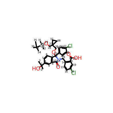 CC(C)(O)c1ccc2c(c1)C(=O)N(Cc1ccc(Cl)cc1C(=O)O)C2(OCC1(CO[Si](C)(C)C(C)(C)C)CC1)c1ccc(Cl)cc1